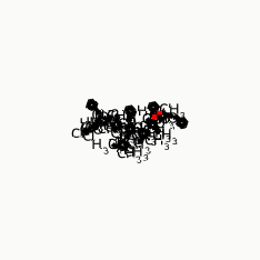 CCC1O[C@@H](O[C@@H]2C(OCc3ccccc3)[C@H](O[C@@H]3C(CC)O[C@@H](O[C@@H]4C(CC)O[C@@H](OCc5ccccc5)C(NC(=O)OCC(Cl)(Cl)Cl)[C@H]4C)C(C)[C@H]3C)OC(CO[C@H]3OC(CC)[C@@H](C)[C@H](C)C3C)[C@H]2C)[C@@H](O[C@@H]2OC(CC)[C@@H](O[C@@H]3OC(COCc4ccccc4)[C@H](C)[C@H](C)C3OCc3ccccc3)[C@H](C)C2C)C(C)[C@H]1C